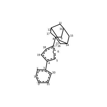 [c]1ccc(-c2ccc(C34CC5CC(CC(C5)C3)C4)cc2)cc1